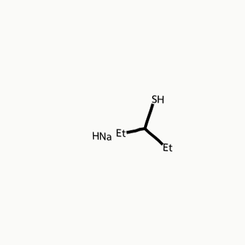 CCC(S)CC.[NaH]